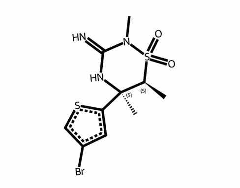 C[C@H]1[C@@](C)(c2cc(Br)cs2)NC(=N)N(C)S1(=O)=O